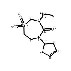 CNC1CS(=O)(=O)CCN(C2CC=CC2)C1=O